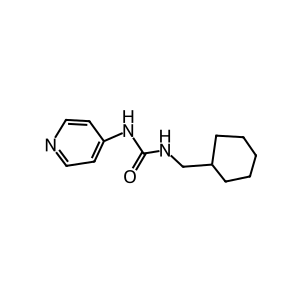 O=C(NCC1CCCCC1)Nc1ccncc1